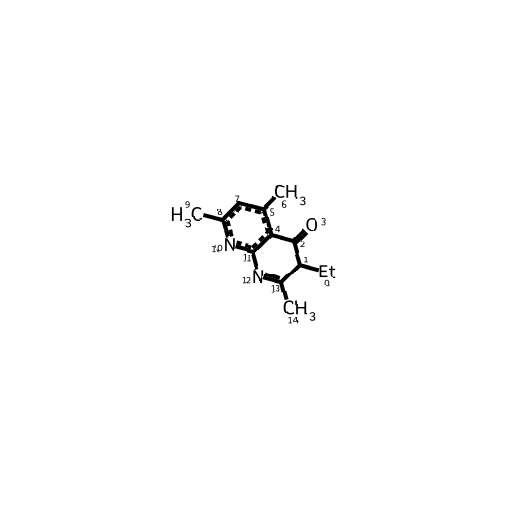 CCC1C(=O)c2c(C)cc(C)nc2N=C1C